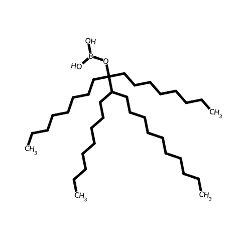 CCCCCCCCCCC(CCCCCCCC)C(CCCCCCCC)(CCCCCCCC)OB(O)O